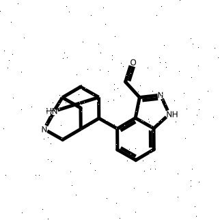 O=Cc1n[nH]c2cccc(C3C4CC5CC3NN(C5)C4)c12